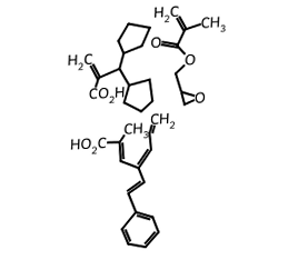 C=C(C(=O)O)C(C1CCCC1)C1CCCC1.C=C(C)C(=O)OCC1CO1.C=CC=C(C=Cc1ccccc1)C=C(C)C(=O)O